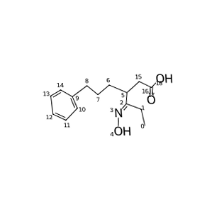 CCC(=NO)C(CCCc1ccccc1)CC(=O)O